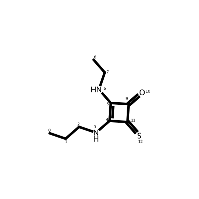 CCCNc1c(NCC)c(=O)c1=S